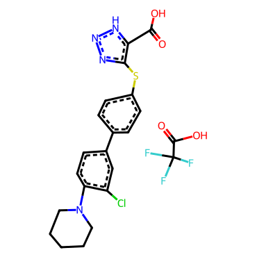 O=C(O)C(F)(F)F.O=C(O)c1[nH]nnc1Sc1ccc(-c2ccc(N3CCCCC3)c(Cl)c2)cc1